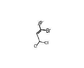 ClC(Cl)C=C(Br)Br